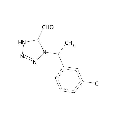 CC(c1cccc(Cl)c1)N1N=NNC1C=O